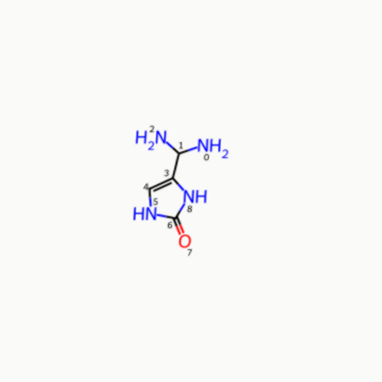 NC(N)c1c[nH]c(=O)[nH]1